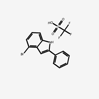 Brc1cccc2[nH]c(-c3ccccc3)cc12.O=S(=O)(O)C(F)(F)F